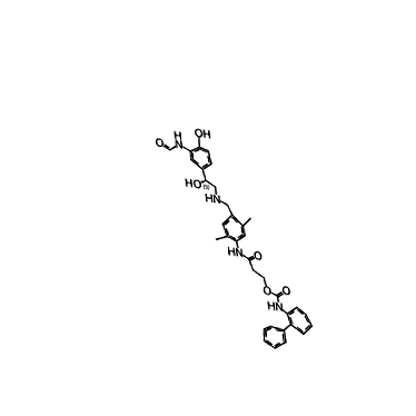 Cc1cc(NC(=O)CCOC(=O)Nc2ccccc2-c2ccccc2)c(C)cc1CNC[C@@H](O)c1ccc(O)c(NC=O)c1